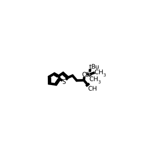 C#CC(CCc1cc2ccccc2s1)O[Si](C)(C)C(C)(C)C